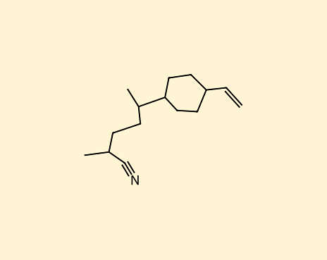 C=CC1CCC(C(C)CCC(C)C#N)CC1